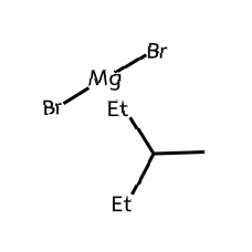 CCC(C)CC.[Br][Mg][Br]